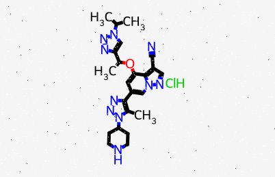 Cc1c(-c2cc(OC(C)c3cn(C(C)C)nn3)c3c(C#N)cnn3c2)nnn1C1CCNCC1.Cl